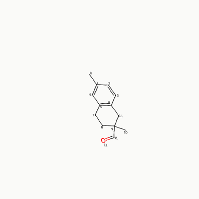 Cc1ccc2c(c1)CCC(C)(C=O)C2